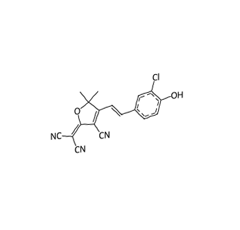 CC1(C)OC(=C(C#N)C#N)C(C#N)=C1/C=C/c1ccc(O)c(Cl)c1